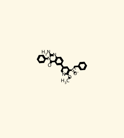 COc1ncc(-c2ccc3nc(N)n(-c4ccccc4)c(=O)c3c2)cc1[S+]([O-])Cc1ccccc1